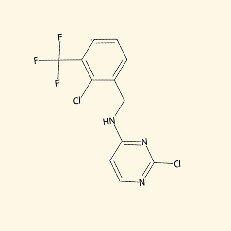 FC(F)(F)c1[c]ccc(CNc2ccnc(Cl)n2)c1Cl